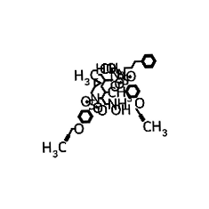 CC#CCOc1ccc(S(=O)(=O)N(CC2CC2)C(C(=O)NO)C(C)CC(C(=O)N(O)N(CCCc2ccccc2)S(=O)(=O)c2ccc(OCC#CC)cc2)C(C)C)cc1